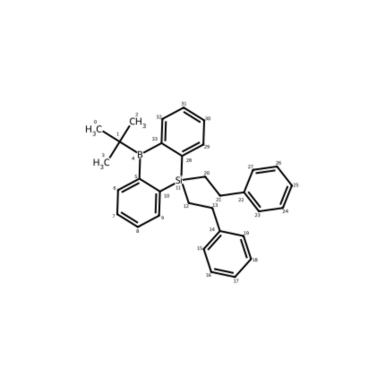 CC(C)(C)B1c2ccccc2[Si](CCc2ccccc2)(CCc2ccccc2)c2ccccc21